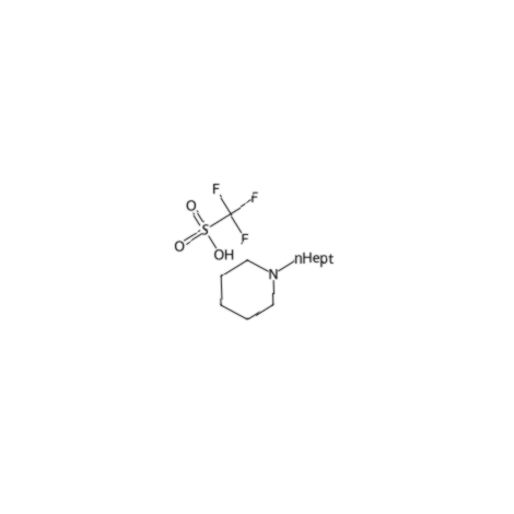 CCCCCCCN1CCCCC1.O=S(=O)(O)C(F)(F)F